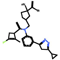 C=C(C1CC(F)=C1C)N(CC1CCC(CCC)(C(=C)CC)C1)c1cccc(C2=NN=C(C3CC3)C2)c1